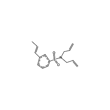 C=CCN(CC=C)S(=O)(=O)c1cccc(/C=C/C)c1